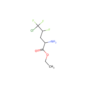 CCOC(=O)C(N)CC(F)C(F)(F)Cl